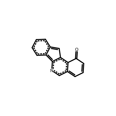 O=C1C=CC=c2cnc3c(c21)C=c1ccccc1=3